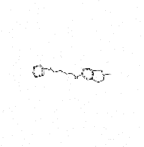 CN1CCc2cc(OCCCCOc3ccccc3)ccc2C1